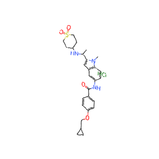 CC(NC1CCS(=O)(=O)CC1)c1cc2cc(NC(=O)c3ccc(OCC4CC4)cc3)ccc2n1C.Cl